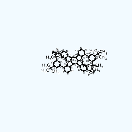 CC(C)(C)c1cc(-c2cccc3c4c5c6ccc(C(F)(F)F)cc6n6c7c(-c8cc(C(C)(C)C)cc(C(C)(C)C)c8)cccc7c(c7c8ccc(C(F)(F)F)cc8n(c23)c74)c56)cc(C(C)(C)C)c1